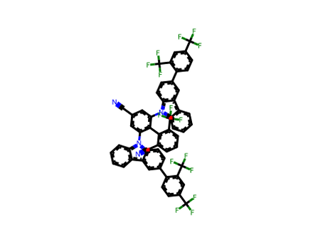 N#Cc1cc(-n2c3ccccc3c3cc(-c4ccc(C(F)(F)F)cc4C(F)(F)F)ccc32)c(-c2c(C#N)cccc2C(F)(F)F)c(-n2c3ccccc3c3cc(-c4ccc(C(F)(F)F)cc4C(F)(F)F)ccc32)c1